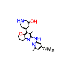 CNc1cc(C)nc(Nc2nc3c(c(C4=CCNC[C@@H](O)C4)c2C)OCCC3)c1